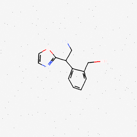 NCC(c1ncco1)c1ccccc1CO